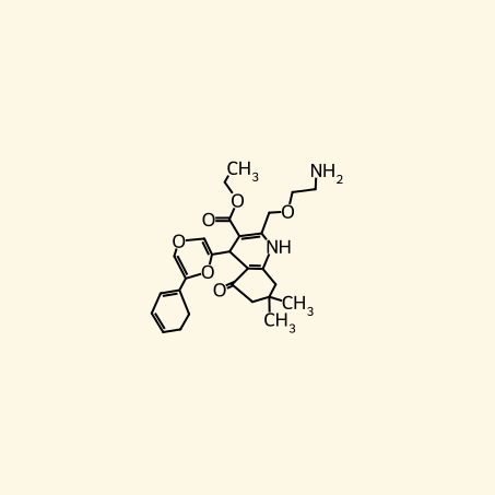 CCOC(=O)C1=C(COCCN)NC2=C(C(=O)CC(C)(C)C2)C1C1=COC=C(C2=CC=CCC2)O1